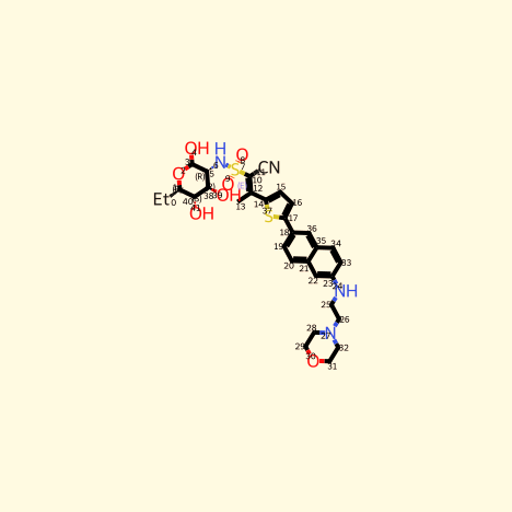 CC[C@H]1OC(O)[C@H](NS(=O)(=O)/C(C#N)=C(\C)c2ccc(-c3ccc4cc(NCCN5CCOCC5)ccc4c3)s2)[C@@H](O)[C@@H]1O